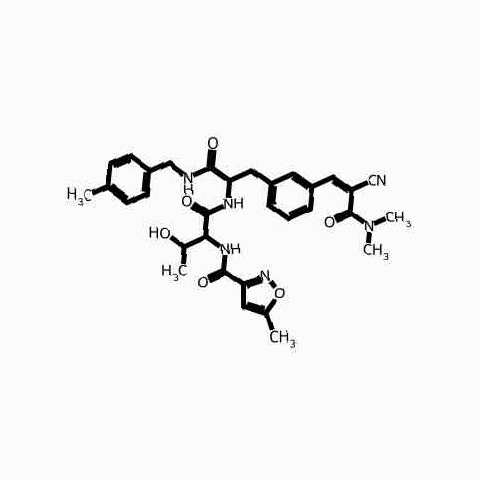 Cc1ccc(CNC(=O)C(Cc2cccc(C=C(C#N)C(=O)N(C)C)c2)NC(=O)C(NC(=O)c2cc(C)on2)C(C)O)cc1